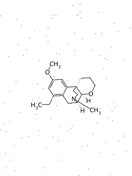 CCc1cc(OC)cc2c1C[C@@H]1[C@@H]3OCCC[C@]23CCN1C